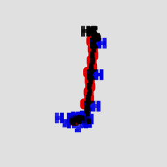 C#Cc1cccc(C(=O)NCCOCCOCCOCCOCCC(=O)NCCOCCOCCOCCOCCC(=O)NCCCCn2nc(-c3ccc4oc(N)nc4c3)c3c(N)ncnc32)c1